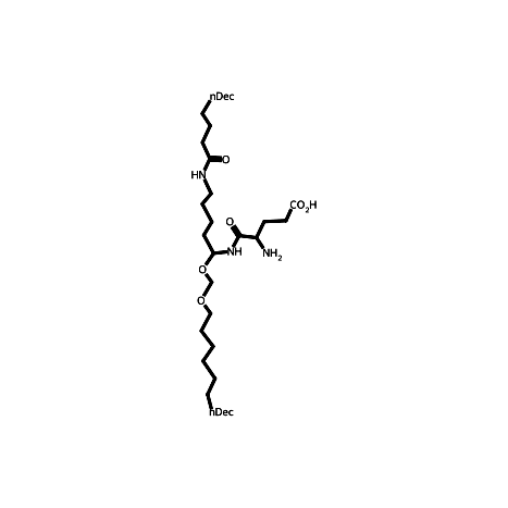 CCCCCCCCCCCCCCCCOCOC(CCCCNC(=O)CCCCCCCCCCCCC)NC(=O)C(N)CCC(=O)O